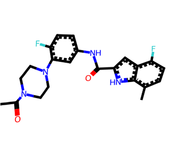 CC(=O)N1CCN(c2cc(NC(=O)c3cc4c(F)ccc(C)c4[nH]3)ccc2F)CC1